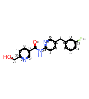 O=C(Nc1ccc(Cc2cccc(F)c2)cn1)c1ccc(CO)nc1